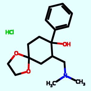 CN(C)CC1CC2(CCC1(O)c1ccccc1)OCCO2.Cl